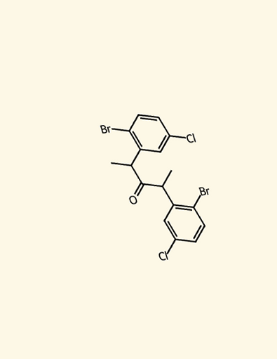 CC(C(=O)C(C)c1cc(Cl)ccc1Br)c1cc(Cl)ccc1Br